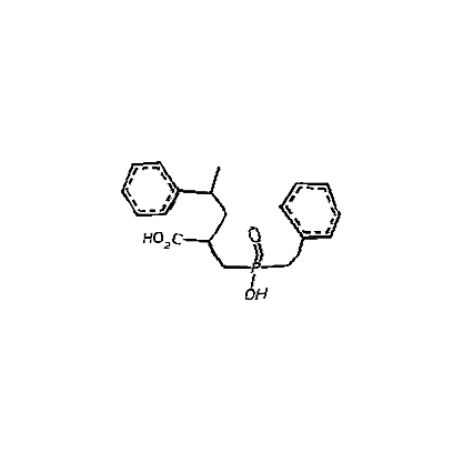 CC(CC(CP(=O)(O)Cc1ccccc1)C(=O)O)c1ccccc1